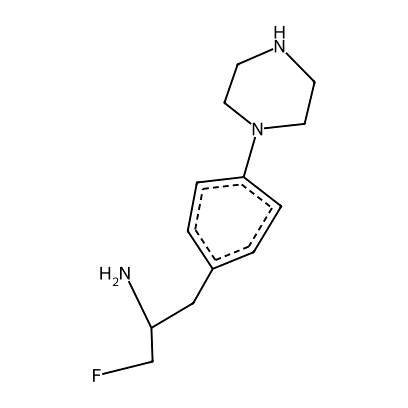 NC(CF)Cc1ccc(N2CCNCC2)cc1